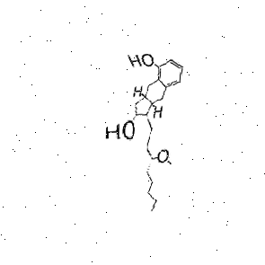 CCCCC[C@H](CC[C@@H]1[C@H]2Cc3cccc(O)c3C[C@H]2C[C@H]1O)OC